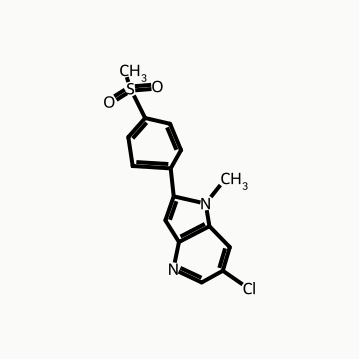 Cn1c(-c2ccc(S(C)(=O)=O)cc2)cc2ncc(Cl)cc21